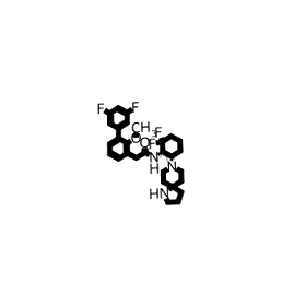 COc1c(CC(=O)N[C@@H]2[C@@H](N3CCC4(CCCN4)CC3)CCCC2(F)F)cccc1-c1cc(F)cc(F)c1